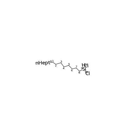 CCCCCCCCCCCCCCC[SiH](Cl)Cl